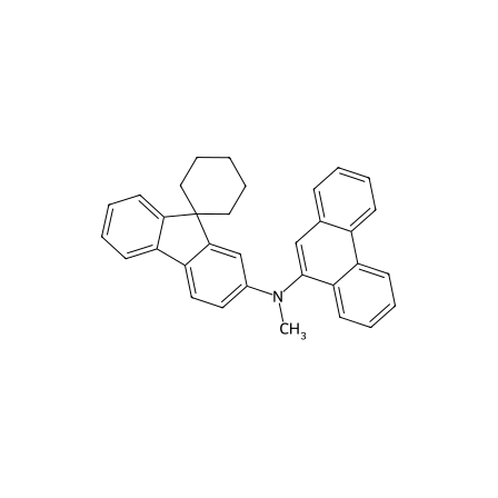 CN(c1ccc2c(c1)C1(CCCCC1)c1ccccc1-2)c1cc2ccccc2c2ccccc12